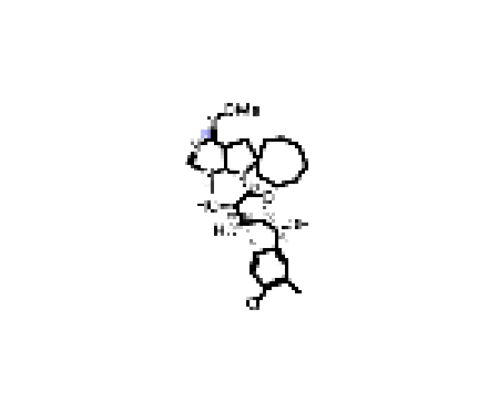 CO/N=C1/N=CNC2C1CC1(CCCCCCC1)N2[C@@H]1O[C@H]([C@H](O)c2ccc(Cl)c(C)c2)[C@@](C)(O)[C@H]1O